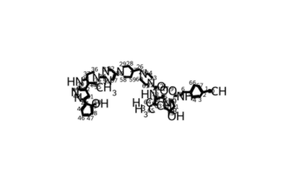 C#Cc1ccc(CNC(=O)[C@@H]2C[C@@H](O)CN2C(=O)[C@@H](NC(=O)N2CCN(CC3CCN(c4cnc(N5CCC6Nc7nnc(-c8ccccc8O)cc7C6[C@@H]5C)nc4)CC3)CC2)C(C)(C)C)cc1